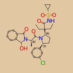 CCC(CC)(C(=O)NS(=O)(=O)C1CC1)[C@H]1CC[C@@H](c2cccc(Cl)c2)N1C(=O)[C@@H](C)N1C(=O)c2ccccc2C1O